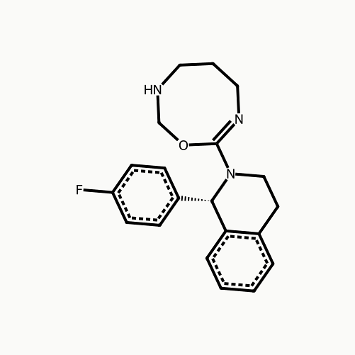 Fc1ccc([C@H]2c3ccccc3CCN2/C2=N/CCCNCO2)cc1